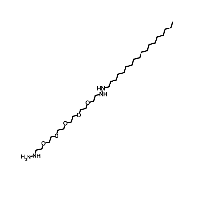 CCCCCCCCCCCCCCCCCCNNCCOCCOCCOCCOCCOCCNN